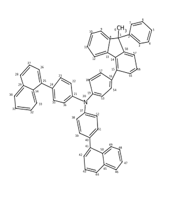 CC1(c2ccccc2)c2ccccc2-c2c(-c3ccc(N(c4ccc(-c5cccc6ccccc56)cc4)c4ccc(-c5cccc6ccccc56)cc4)cc3)cccc21